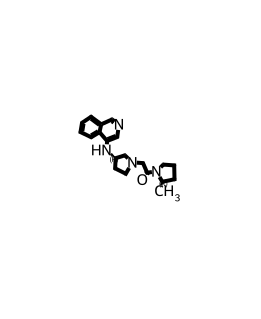 C[C@@H]1CCCN1C(=O)CN1CC[C@@H](Nc2cncc3ccccc23)C1